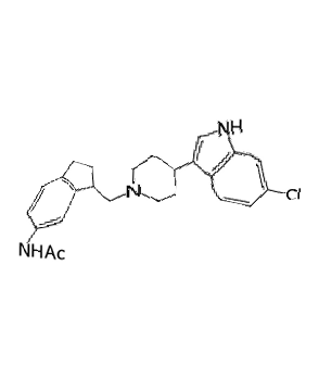 CC(=O)Nc1ccc2c(c1)C(CN1CCC(c3c[nH]c4cc(Cl)ccc34)CC1)CC2